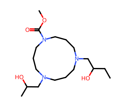 CCC(O)CN1CCCN(CC(C)O)CCCN(C(=O)OC)CCC1